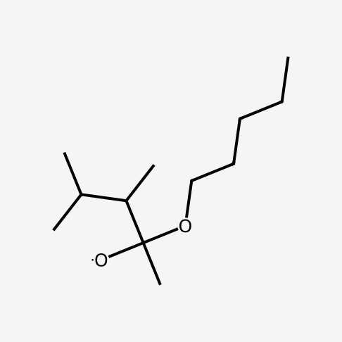 CCCCCOC(C)([O])C(C)C(C)C